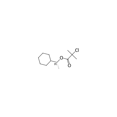 C[C@@H](OC(=O)C(C)(C)Cl)C1CCCCC1